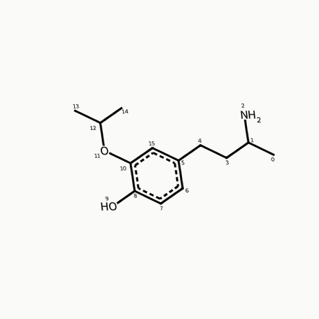 CC(N)CCc1ccc(O)c(OC(C)C)c1